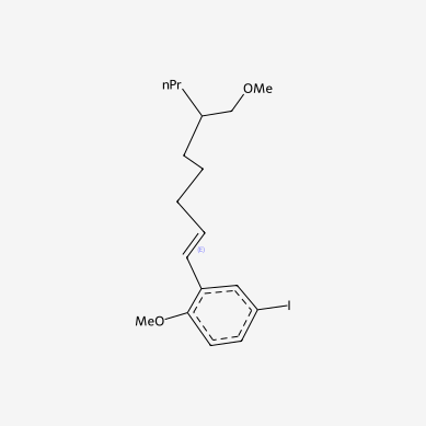 CCCC(CCC/C=C/c1cc(I)ccc1OC)COC